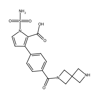 NS(=O)(=O)n1ccc(-c2ccc(C(=O)N3CC4(CNC4)C3)cc2)c1C(=O)O